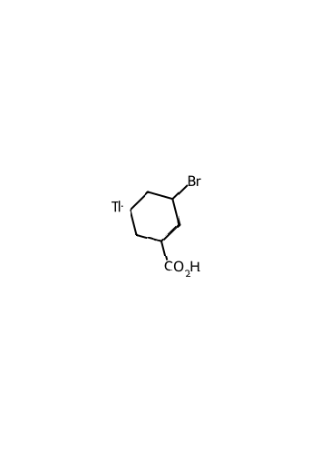 O=C(O)C1CCCC(Br)C1.[Tl]